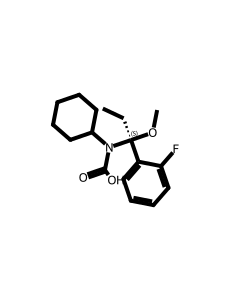 CC[C@](OC)(c1ccccc1F)N(C(=O)O)C1CCCCC1